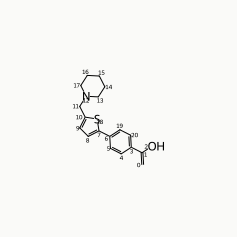 C=C(O)c1ccc(-c2ccc(CN3CCCCC3)s2)cc1